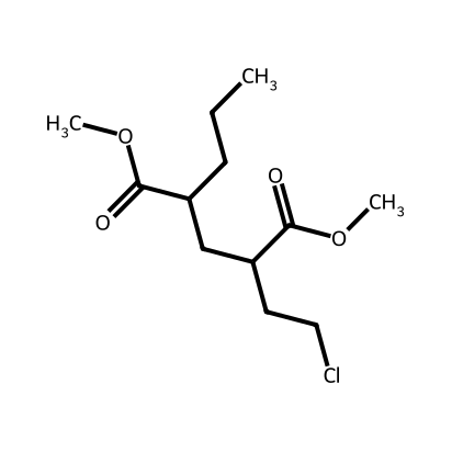 CCCC(CC(CCCl)C(=O)OC)C(=O)OC